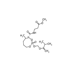 C=C(OCOP1(=O)OCCCC(C)[C@H](C(=O)NCCC(=O)OC)O1)C(C)C